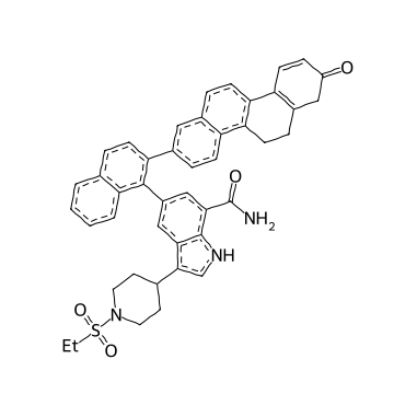 CCS(=O)(=O)N1CCC(c2c[nH]c3c(C(N)=O)cc(-c4c(-c5ccc6c7c(ccc6c5)C5=C(CC7)CC(=O)C=C5)ccc5ccccc45)cc23)CC1